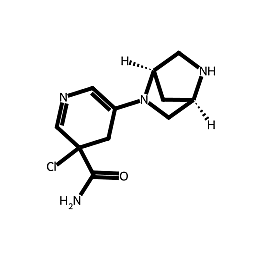 NC(=O)C1(Cl)C=NC=C(N2C[C@H]3C[C@@H]2CN3)C1